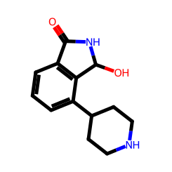 O=C1NC(O)c2c1cccc2C1CCNCC1